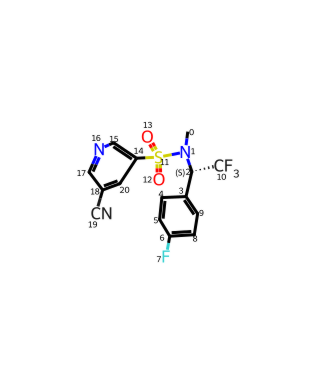 CN([C@@H](c1ccc(F)cc1)C(F)(F)F)S(=O)(=O)c1cncc(C#N)c1